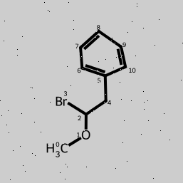 COC(Br)Cc1ccccc1